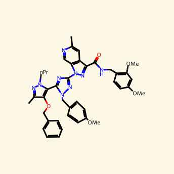 CCCn1nc(C)c(OCc2ccccc2)c1-c1nc(-n2nc(C(=O)NCc3ccc(OC)cc3OC)c3cc(C)ncc32)nn1Cc1ccc(OC)cc1